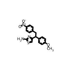 COc1ccc(C(Cc2ccc([N+](=O)[O-])cc2)c2csc(N)n2)cc1